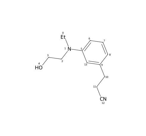 CCN(CCO)c1cccc(CCC#N)c1